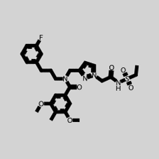 CCS(=O)(=O)NC(=O)Cn1ccc(CN(CCCc2cccc(F)c2)C(=O)c2cc(OC)c(C)c(OC)c2)n1